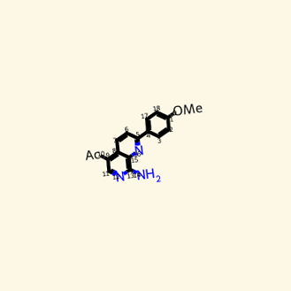 COc1ccc(-c2ccc3c(C(C)=O)cnc(N)c3n2)cc1